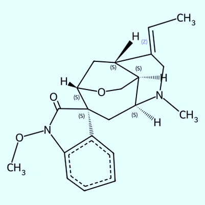 C/C=C1\CN(C)[C@H]2C[C@@]3(C(=O)N(OC)c4ccccc43)[C@@H]3C[C@H]1[C@@H]2CO3